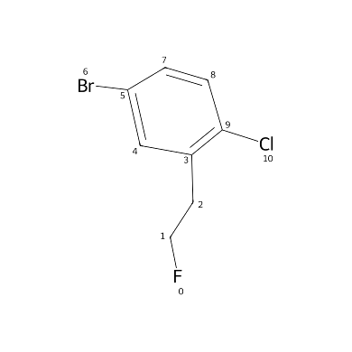 FCCc1cc(Br)ccc1Cl